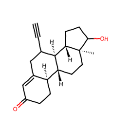 C#CC1CC2=CC(=O)CC[C@@H]2[C@H]2CC[C@]3(C)C(O)CC[C@H]3[C@H]12